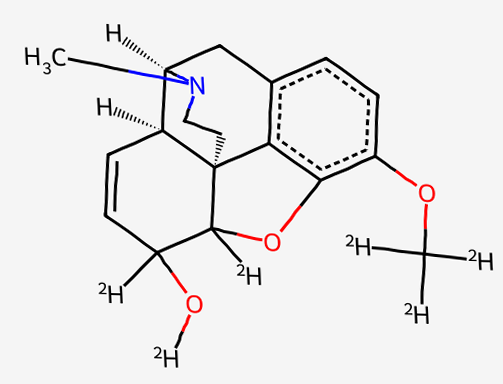 [2H]OC1([2H])C=C[C@H]2[C@H]3Cc4ccc(OC([2H])([2H])[2H])c5c4[C@@]2(CCN3C)C1([2H])O5